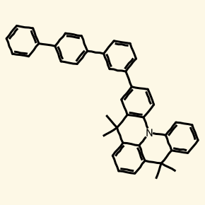 CC1(C)c2ccccc2N2c3ccc(-c4cccc(-c5ccc(-c6ccccc6)cc5)c4)cc3C(C)(C)c3cccc1c32